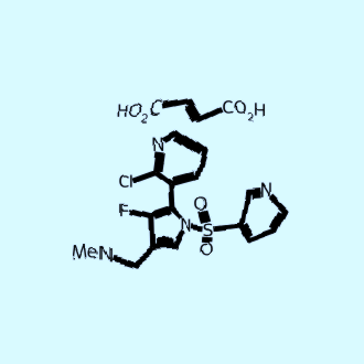 CNCc1cn(S(=O)(=O)c2cccnc2)c(-c2cccnc2Cl)c1F.O=C(O)/C=C/C(=O)O